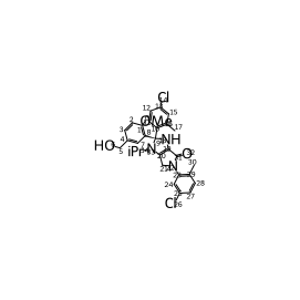 COc1ccc(CO)cc1[C@@]1(c2ccc(Cl)cc2C)NC2=C(CN(c3cc(Cl)ccc3C)C2=O)N1C(C)C